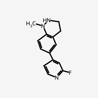 CN1NCCc2cc(-c3ccnc(F)c3)ccc21